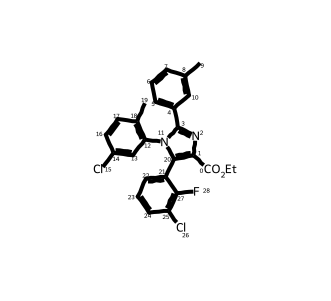 CCOC(=O)c1nc(-c2cccc(C)c2)n(-c2cc(Cl)ccc2C)c1-c1cccc(Cl)c1F